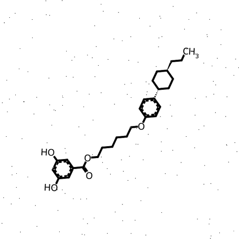 CCC[C@H]1CC[C@H](c2ccc(OCCCCCCOC(=O)c3cc(O)cc(O)c3)cc2)CC1